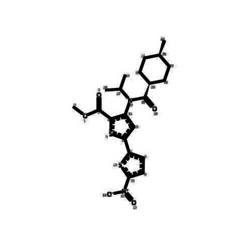 COC(=O)c1sc(-c2ccc([N+](=O)[O-])s2)cc1N(C(=O)[C@H]1CC[C@H](C)CC1)C(C)C